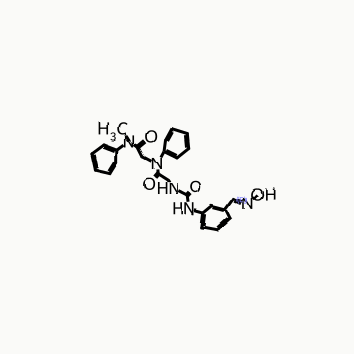 CN(C(=O)CN(C(=O)CNC(=O)Nc1cccc(/C=N/O)c1)c1ccccc1)c1ccccc1